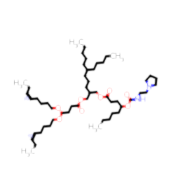 C[CH]CCCC(CCCCC)CCCC(COC(=O)CCC(CCCCC)OC(=O)NCCN1CCCC1)COC(=O)CCC(OCCCC/C=C\CC)OCCCC/C=C\CC